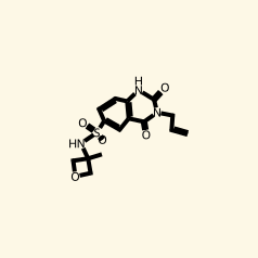 C=CCn1c(=O)[nH]c2ccc(S(=O)(=O)NC3(C)COC3)cc2c1=O